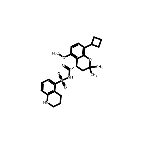 COc1ccc(C2CCC2)c2c1[C@@H](C(=O)NS(=O)(=O)c1cccc3c1CCCN3)CC(C)(C)O2